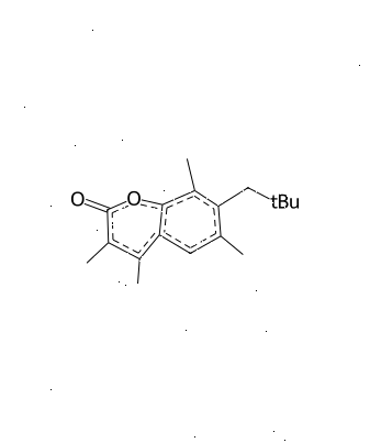 Cc1cc2c(C)c(C)c(=O)oc2c(C)c1CC(C)(C)C